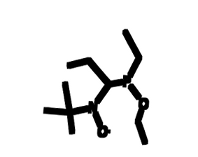 CCOP(CC)C(CC)N([O])C(C)(C)C